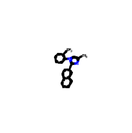 Cc1cn(-c2ccccc2C)c(-c2ccc3ccccc3c2)n1